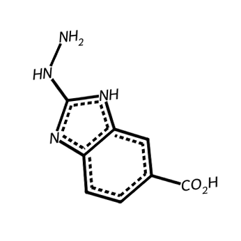 NNc1nc2ccc(C(=O)O)cc2[nH]1